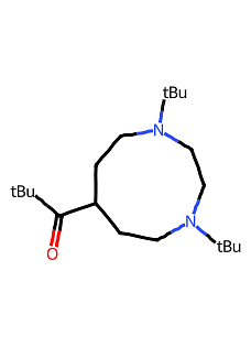 CC(C)(C)C(=O)C1CCN(C(C)(C)C)CCN(C(C)(C)C)CC1